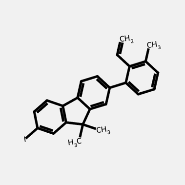 C=Cc1c(C)cccc1-c1ccc2c(c1)C(C)(C)c1cc(I)ccc1-2